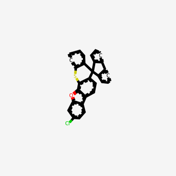 Clc1ccc2c(c1)oc1c3c(ccc12)C1(c2ccccc2S3)c2ccccc2-c2ccccc21